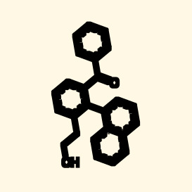 O=C(c1ccccc1)c1cccc(CCO)c1-c1cccc2ccccc12